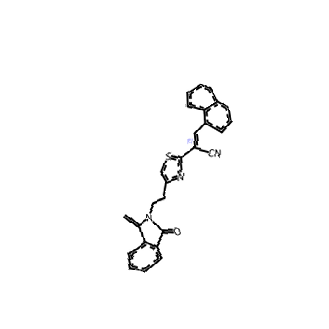 C=C1c2ccccc2C(=O)N1CCc1csc(/C(C#N)=C/c2cccc3ccccc23)n1